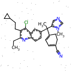 CCc1nc2ccc(C(C)(C3=CC=C(C#N)CC3)c3cncn3C)cc2c(Cl)c1CCC1CC1